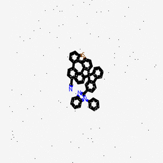 N#Cc1ccc(-c2cccc3sc4ccc5c(c4c23)-c2ccccc2C52c3ccccc3-c3ccc(-c4nc5ccccc5n4-c4ccccc4)cc32)cc1